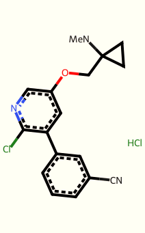 CNC1(COc2cnc(Cl)c(-c3cccc(C#N)c3)c2)CC1.Cl